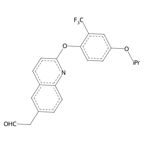 CC(C)Oc1ccc(Oc2ccc3cc(CC=O)ccc3n2)c(C(F)(F)F)c1